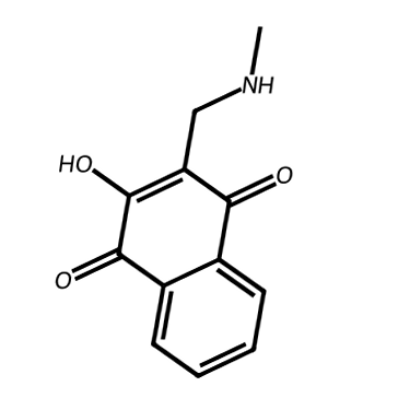 CNCC1=C(O)C(=O)c2ccccc2C1=O